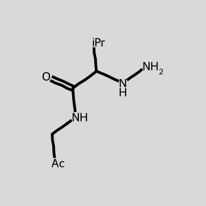 CC(=O)CNC(=O)C(NN)C(C)C